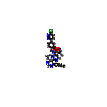 COc1ncnc(C2CC2)c1-c1ncc2c(n1)N(Cc1ccc(-c3ccc(Cl)nn3)cc1)S(=O)(=O)C21CC1